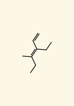 C=C/C(CC)=C(\C)CC